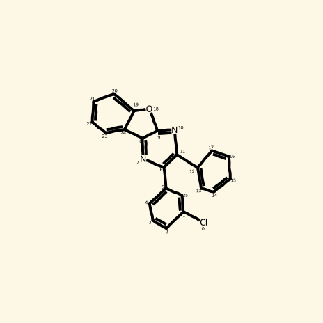 Clc1cccc(-c2nc3c(nc2-c2ccccc2)oc2ccccc23)c1